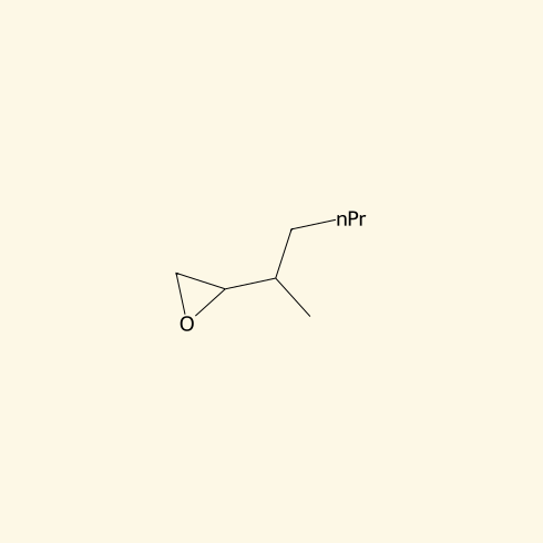 CCCCC(C)C1CO1